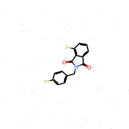 O=C1c2cccc(F)c2C(=O)N1Cc1ccc(F)cc1